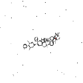 COc1cc2c(cc1-c1cc(C)c(OC)c(C)c1)CC(C)(C)C2NC(=O)O[C@H]1CN2CCC1CC2